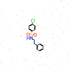 O=S(=O)(NCCc1ccccc1)c1ccc(Cl)cc1